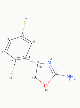 NC1=N[C@@H](c2cc(F)ccc2F)CO1